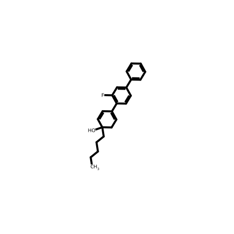 CCCCCC1(O)C=CC(c2ccc(-c3ccccc3)cc2F)=CC1